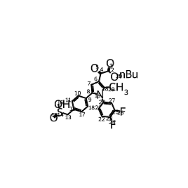 CCCCOC(=O)C(=O)c1cc(-c2ccc(CS(=O)O)cc2)n(-c2ccc(F)c(F)c2)c1C